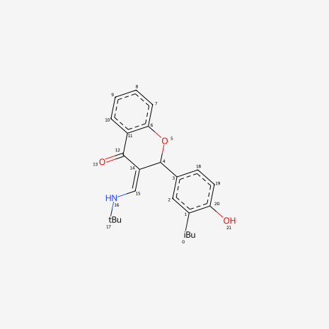 CCC(C)c1cc(C2Oc3ccccc3C(=O)/C2=C\NC(C)(C)C)ccc1O